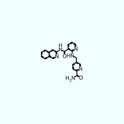 NC(=O)c1ccc(CNc2ncccc2C(=O)Nc2cc3ccccc3cn2)cn1